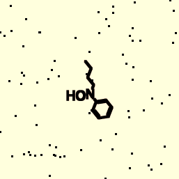 CCCCN(O)c1ccccc1